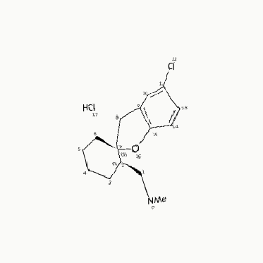 CNC[C@H]1CCCC[C@]12Cc1cc(Cl)ccc1O2.Cl